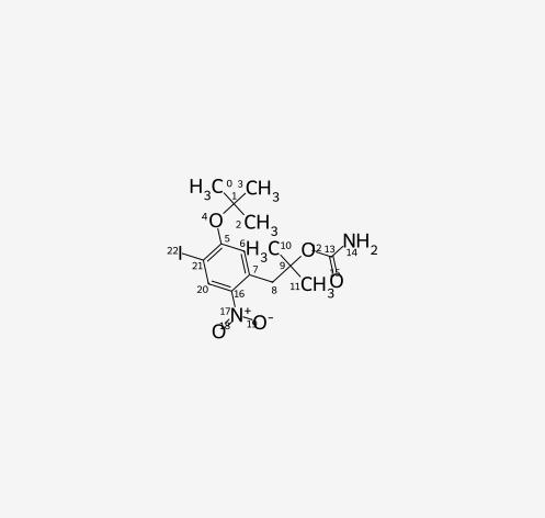 CC(C)(C)Oc1cc(CC(C)(C)OC(N)=O)c([N+](=O)[O-])cc1I